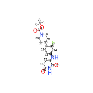 CC(C)(C)OC(=O)N1CCC(c2ccc(NC3CCC(=O)NC3=O)cc2F)CC1